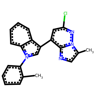 Cc1ccccc1-n1cc(-c2cc(Cl)nn3c(C)cnc23)c2ccccc21